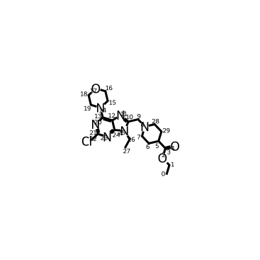 CCOC(=O)C1CCN(Cc2nc3c(N4CCOCC4)nc(Cl)nc3n2CC)CC1